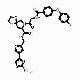 Nc1nc(-c2csc(CNC(=O)C3CC4(CN3C(=O)CNC(=O)c3ccc(Oc5ccc(F)cc5)cc3)OCCO4)c2)cs1